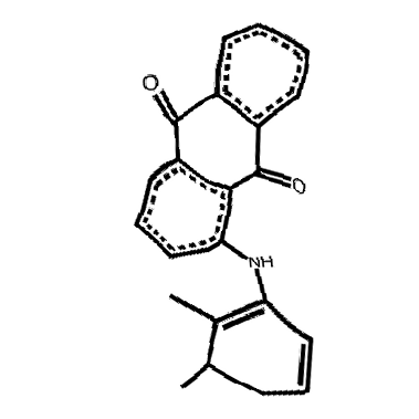 CC1=C(Nc2cccc3c2C(=O)c2ccccc2C3=O)C=CCC1C